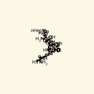 CCCCCCCOP(=O)(O)O[C@H](C)[C@H](NC(=O)[C@H](CO)NC(=O)[C@H](Cc1cnc[nH]1)NC(=O)[C@H](CC(C)C)NC(=O)[C@@H]1CCCN1C(=O)CCOCCOCCNC(=O)[C@@H](N)CS)C(N)=O